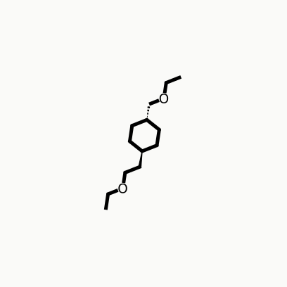 CCOCC[C@H]1CC[C@H](COCC)CC1